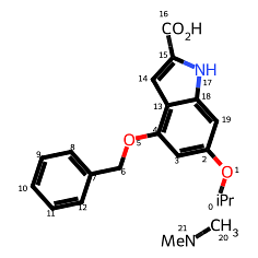 CC(C)Oc1cc(OCc2ccccc2)c2cc(C(=O)O)[nH]c2c1.CNC